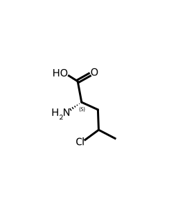 CC(Cl)C[C@H](N)C(=O)O